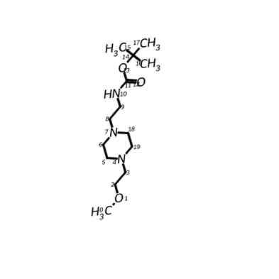 COCCN1CCN(CCNC(=O)OC(C)(C)C)CC1